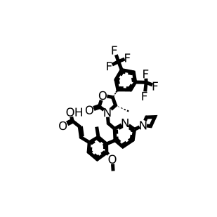 COc1ccc(/C=C/C(=O)O)c(C)c1-c1ccc(N2CCC2)nc1CN1C(=O)O[C@H](c2cc(C(F)(F)F)cc(C(F)(F)F)c2)[C@@H]1C